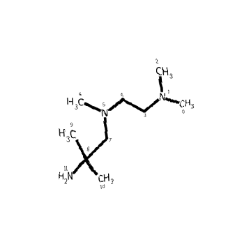 CN(C)CCN(C)CC(C)(C)N